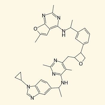 Cc1nc(CC2OCC2c2cccc(C(C)Nc3nc(C)nc4oc(C)cc34)c2)c(C)c(NC(C)c2ccc3c(c2)ncn3C2CC2)n1